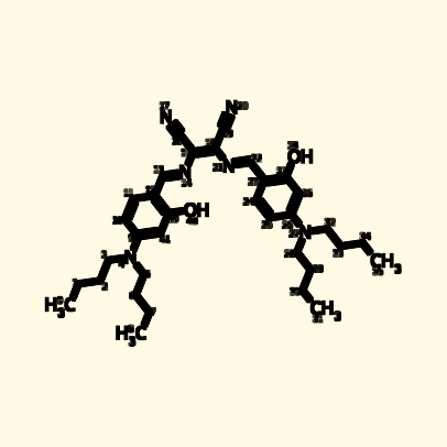 CCCCN(CCCC)c1ccc(/C=N/C(C#N)=C(C#N)\N=C\c2ccc(N(CCCC)CCCC)cc2O)c(O)c1